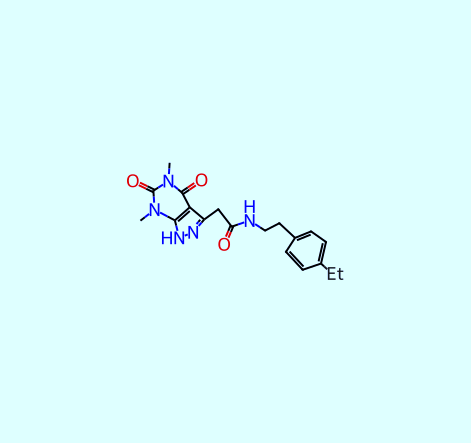 CCc1ccc(CCNC(=O)Cc2n[nH]c3c2c(=O)n(C)c(=O)n3C)cc1